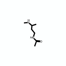 CNC(C)CCNC(C)=O